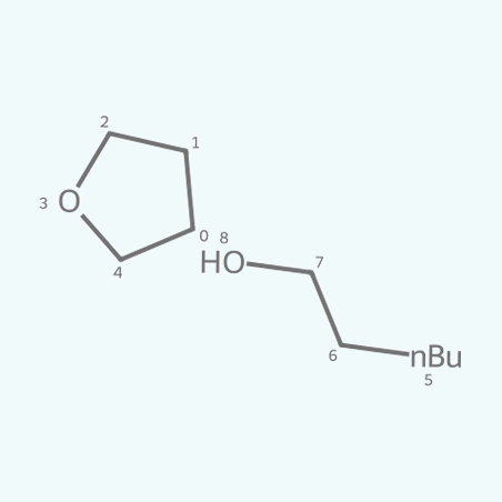 C1CCOC1.CCCCCCO